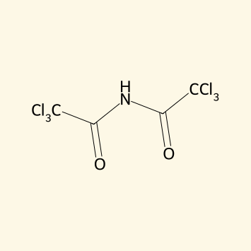 O=C(NC(=O)C(Cl)(Cl)Cl)C(Cl)(Cl)Cl